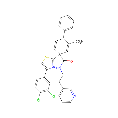 O=C(O)C1=CC(C(=O)NCCc2cccnc2)(c2nc(-c3ccc(Cl)c(Cl)c3)cs2)C=CC1c1ccccc1